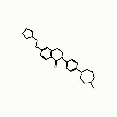 CN1CCCN(c2ccc(N3CCc4cc(OCC5CCCO5)ccc4C3=O)cc2)CC1